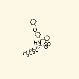 CCCCC1(CC)CS(=O)(=O)c2ccccc2C(c2ccc(OCc3ccccc3)cc2)N1